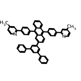 Cc1ccnc(-c2ccc(-c3c4ccccc4c(-c4ccc(-c5cc(C)ccn5)cc4)c4cc(-c5cc(-c6ccccc6)cc(-c6ccccc6)c5)ccc34)cc2)c1